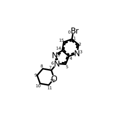 Brc1cnc2cn(C3CCCCO3)nc2c1